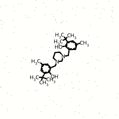 Cc1cc(CN2CCCN(Cc3cc(C)cc(C(C)(C)C)c3O)C2)c(O)c(C(C)(C)C)c1